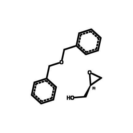 OC[C@@H]1CO1.c1ccc(COCc2ccccc2)cc1